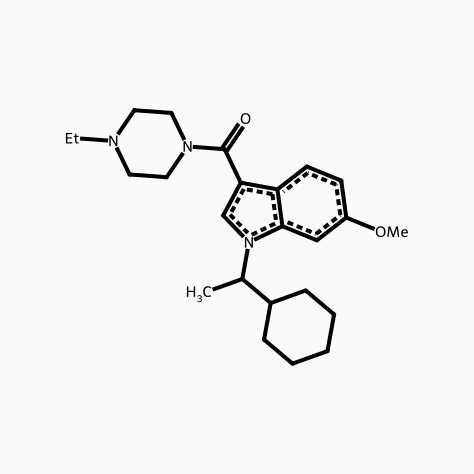 CCN1CCN(C(=O)c2cn(C(C)C3CCCCC3)c3cc(OC)ccc23)CC1